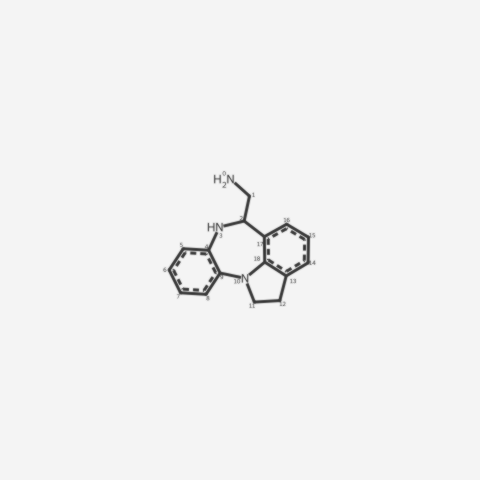 NCC1Nc2ccccc2N2CCc3cccc1c32